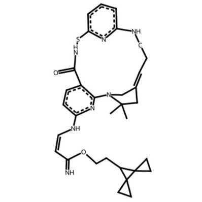 CC1(C)C/C2=C\CCNc3cccc(n3)SNC(=O)c3ccc(N/C=C\C(=N)OCCC4C5(CC5)C45CC5)nc3N1C2